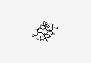 CC(C)(C)[C@@]1(O)c2c([N+](=O)[O-])cnn2[C@](O)(C(C)(C)C)c2c([N+](=O)[O-])cnn21